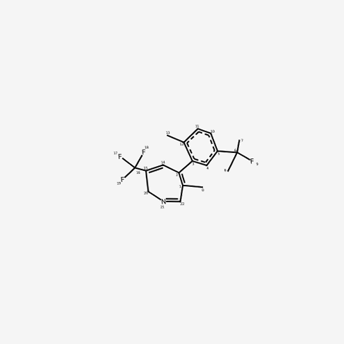 CC1=C(c2cc(C(C)(C)F)ccc2C)C=C(C(F)(F)F)CN=C1